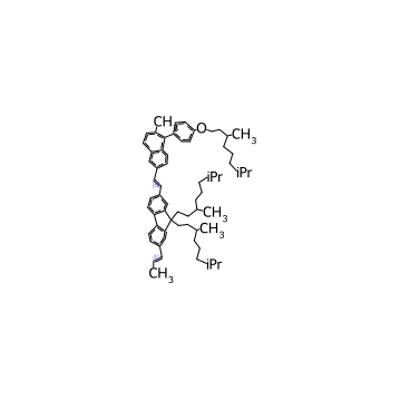 C/C=C/c1ccc2c(c1)C(CCC(C)CCCC(C)C)(CCC(C)CCCC(C)C)c1cc(/C=C/c3ccc4c(-c5ccc(OCCC(C)CCCC(C)C)cc5)c(C)ccc4c3)ccc1-2